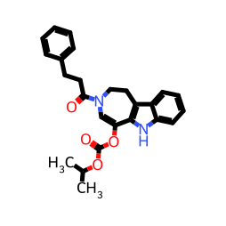 CC(C)OC(=O)OC1=CN(C(=O)CCc2ccccc2)CCc2c1[nH]c1ccccc21